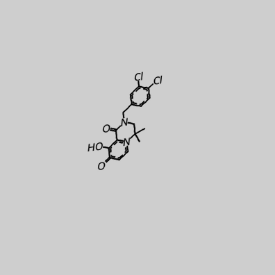 CC1(C)CN(Cc2ccc(Cl)c(Cl)c2)C(=O)c2c(O)c(=O)ccn21